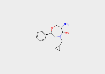 NC1CO[C@H](c2ccccc2)CN(CC2CC2)C1=O